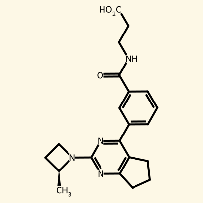 C[C@H]1CCN1c1nc2c(c(-c3cccc(C(=O)NCCC(=O)O)c3)n1)CCC2